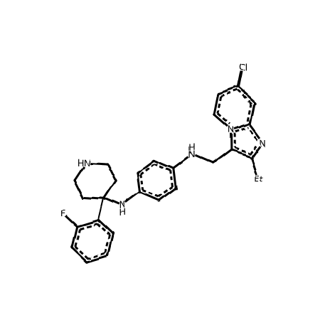 CCc1nc2cc(Cl)ccn2c1CNc1ccc(NC2(c3ccccc3F)CCNCC2)cc1